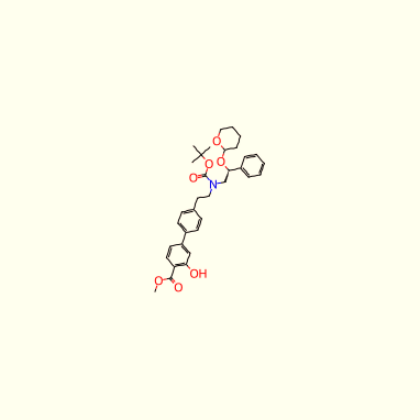 COC(=O)c1ccc(-c2ccc(CCN(C[C@@H](OC3CCCCO3)c3ccccc3)C(=O)OC(C)(C)C)cc2)cc1O